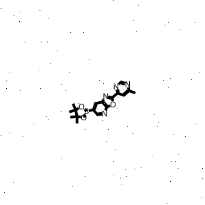 Cc1cc(-c2nc3cc(B4OC(C)(C)C(C)(C)O4)cnc3o2)ncn1